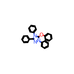 c1ccc(OC2N(c3ccccc3)N=C(c3ccccc3)N2c2ccccc2)cc1